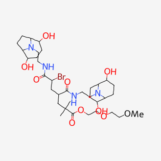 COCCOCCOC(=O)C(C)(C)CC(CC(Br)C(=O)NCCN1C2CCC1C(O)CCC2O)C(=O)NCCN1C2CCC(O)C1CCC2O